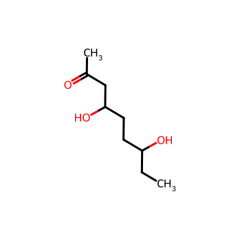 CCC(O)CCC(O)CC(C)=O